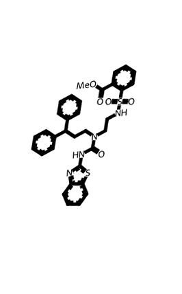 COC(=O)c1ccccc1S(=O)(=O)NCCN(CCC(c1ccccc1)c1ccccc1)C(=O)Nc1nc2ccccc2s1